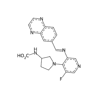 O=C(O)NC1CCN(c2c(F)cncc2/N=C/c2ccc3nccnc3c2)C1